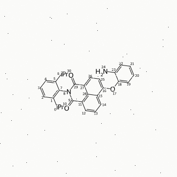 CC(C)c1cccc(C(C)C)c1N1C(=O)c2cccc3c(Oc4ccccc4N)ccc(c23)C1=O